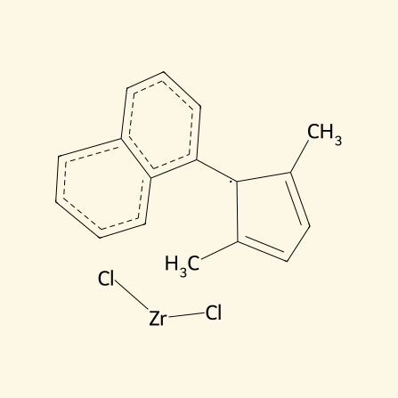 CC1=CC=C(C)[C]1c1cccc2ccccc12.[Cl][Zr][Cl]